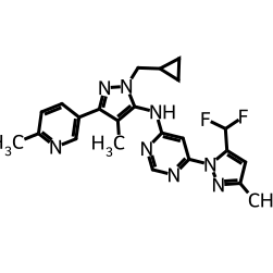 Cc1ccc(-c2nn(CC3CC3)c(Nc3cc(-n4nc(C)cc4C(F)F)ncn3)c2C)cn1